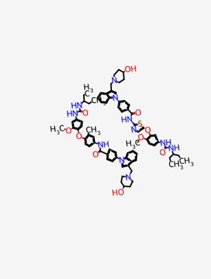 CCC(CC)NC(=O)Nc1ccc(OC)c(Oc2cnc(NC(=O)c3ccc(-n4cc(CN5CCC(O)CC5)c5ccccc54)cc3)s2)c1.CCC(CC)NC(=O)Nc1ccc(Oc2ccc(NC(=O)c3ccc(-n4cc(CN5CCC(O)CC5)c5ccccc54)cc3)cc2C)c(OC)c1